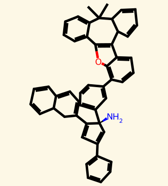 CC1(C)c2ccccc2-c2oc3c(-c4cccc([C@]5(N)C=C(c6ccccc6)C=C5C5=CC=C6C=CC=CC6C5)c4)cccc3c2C2C=CC=CC21